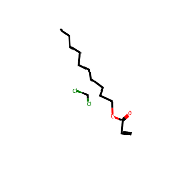 C=CC(=O)OCCCCCCCCCC.ClCCl